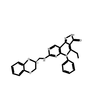 CCc1c2c(=O)[nH]nc-2c2cnc(NC[C@H]3COc4ccccc4O3)nc2n1-c1ccccc1